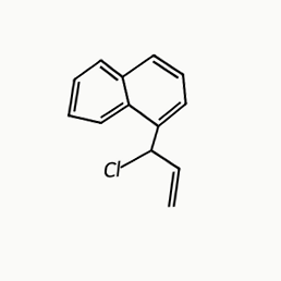 C=CC(Cl)c1cccc2ccccc12